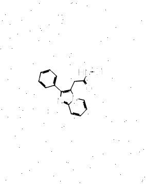 O=C(Cc1c(-c2ccccc2)nc2ccccn12)NO